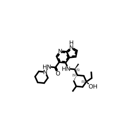 CC[C@]1(O)CC(C)C[C@H]([C@H](C)Nc2c(C(=O)NN3CCCCC3)cnc3[nH]ccc23)C1